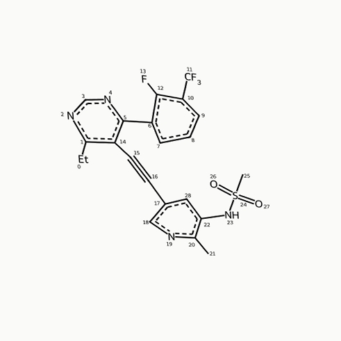 CCc1ncnc(-c2cccc(C(F)(F)F)c2F)c1C#Cc1cnc(C)c(NS(C)(=O)=O)c1